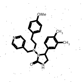 COc1ccc(CCN(Cc2ccncc2)N2C(=O)NCC2c2ccc(C)c(C)c2)cc1